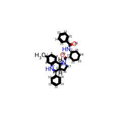 Cc1ccc2c(c1)N[C@H](c1ccccc1)[C@@H]1CCN(C(=O)[C@H]3CCCC[C@H]3NC(=O)c3ccccc3)[C@H]21